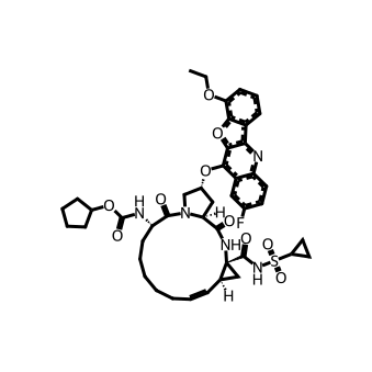 CCOc1cccc2c1oc1c(O[C@@H]3C[C@H]4C(=O)N[C@]5(C(=O)NS(=O)(=O)C6CC6)C[C@H]5/C=C\CCCCC[C@H](NC(=O)OC5CCCC5)C(=O)N4C3)c3cc(F)ccc3nc12